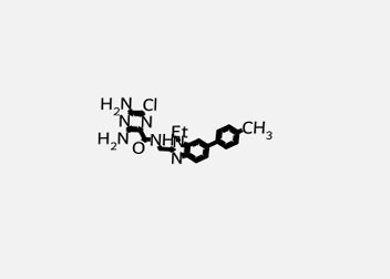 CCn1c(CNC(=O)c2nc(Cl)c(N)nc2N)nc2ccc(-c3ccc(C)cc3)cc21